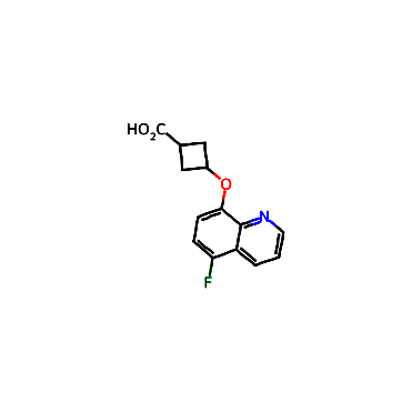 O=C(O)C1CC(Oc2ccc(F)c3cccnc23)C1